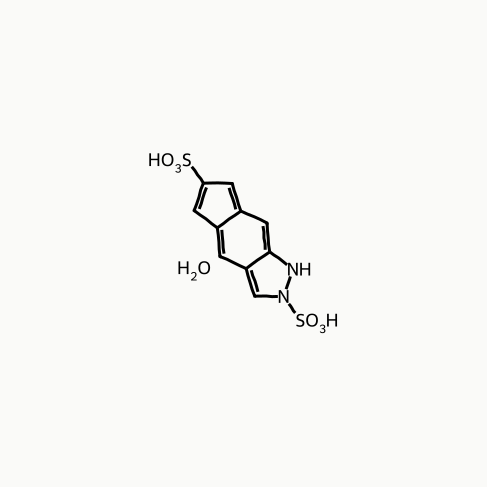 O.O=S(=O)(O)c1cc2cc3cn(S(=O)(=O)O)[nH]c3cc2c1